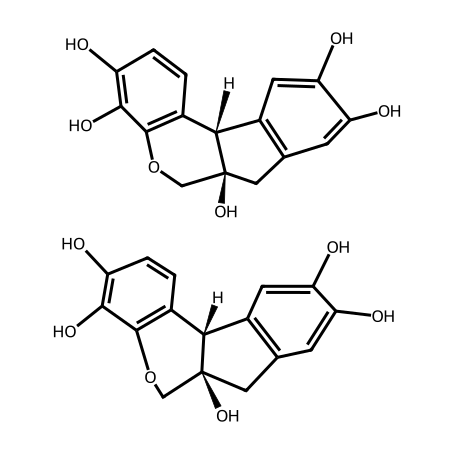 Oc1cc2c(cc1O)[C@H]1c3ccc(O)c(O)c3OC[C@@]1(O)C2.Oc1cc2c(cc1O)[C@H]1c3ccc(O)c(O)c3OC[C@@]1(O)C2